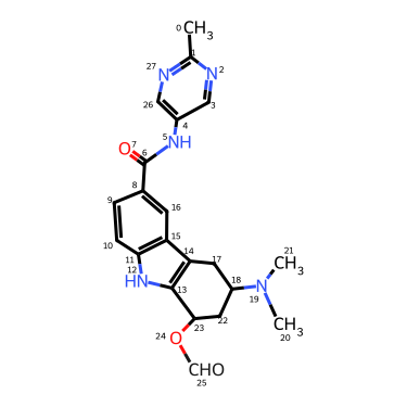 Cc1ncc(NC(=O)c2ccc3[nH]c4c(c3c2)CC(N(C)C)CC4OC=O)cn1